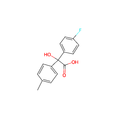 Cc1ccc(C(O)(C(=O)O)c2ccc(F)cc2)cc1